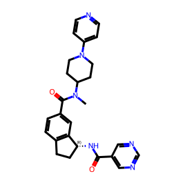 CN(C(=O)c1ccc2c(c1)[C@H](NC(=O)c1cncnc1)CC2)C1CCN(c2ccncc2)CC1